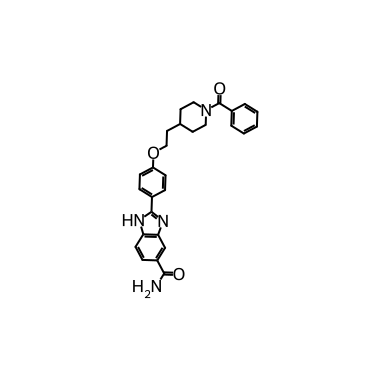 NC(=O)c1ccc2[nH]c(-c3ccc(OCCC4CCN(C(=O)c5ccccc5)CC4)cc3)nc2c1